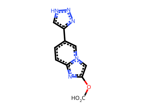 O=C(O)Oc1cn2cc(-c3c[nH]nn3)ccc2n1